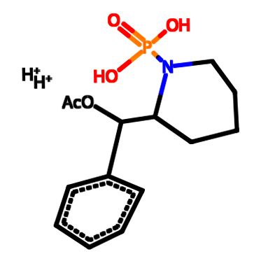 CC(=O)OC(c1ccccc1)C1CCCCN1P(=O)(O)O.[H+].[H+]